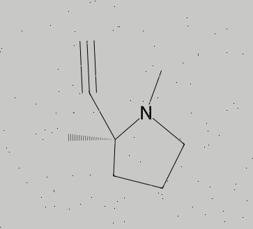 C#C[C@]1(C)CCCN1C